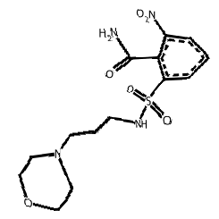 NC(=O)c1c([N+](=O)[O-])cccc1S(=O)(=O)NCCCN1CCOCC1